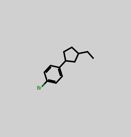 CCC1CCC(c2ccc(Br)cc2)C1